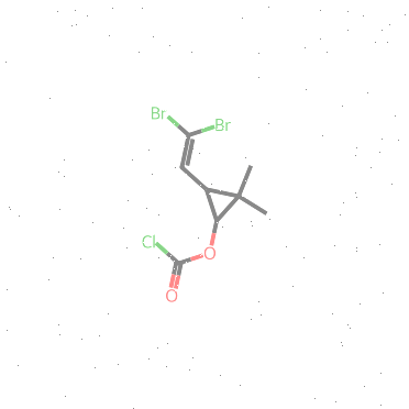 CC1(C)C(C=C(Br)Br)C1OC(=O)Cl